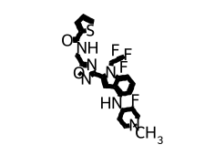 CN1CC[C@@H](Nc2cccc3c2cc(-c2noc(CNC(=O)c4cccs4)n2)n3CC(F)(F)F)[C@@H](F)C1